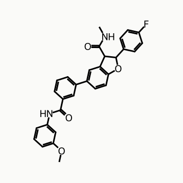 CNC(=O)C1c2cc(-c3cccc(C(=O)Nc4cccc(OC)c4)c3)ccc2OC1c1ccc(F)cc1